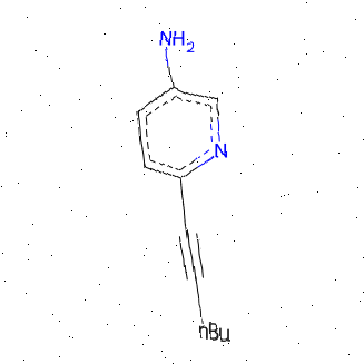 CCCCC#Cc1ccc(N)cn1